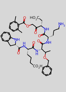 Cc1cccc(C)c1C(=O)OCC(=O)[C@H](CC(=O)O)NC(=O)[C@H](CCCN)NC(=O)[C@@H](NC(=O)[C@H](CCCC(=O)O)NC(=O)[C@@H]1Cc2ccccc2N1)C(C)OCc1ccccc1